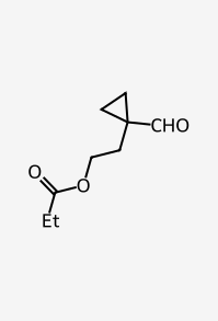 CCC(=O)OCCC1(C=O)CC1